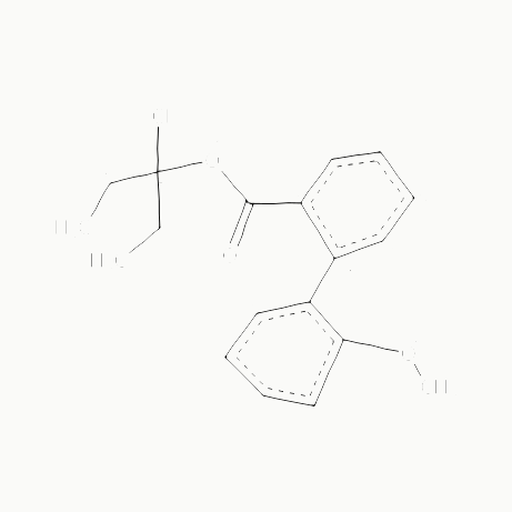 CCC(C)(CC)OC(=O)c1ccccc1-c1ccccc1OC